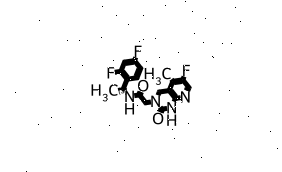 Cc1c(F)cnc2c1CN(CC(=O)N[C@@H](C)c1ccc(F)cc1F)C(=O)N2